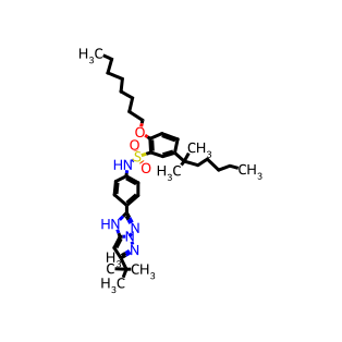 CCCCCCCCOc1ccc(C(C)(C)CCCCC)cc1S(=O)(=O)Nc1ccc(-c2nn3nc(C(C)(C)C)cc3[nH]2)cc1